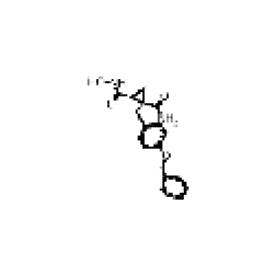 NC(=O)[C@@]1(Cc2ccc(OCc3ccccc3)cc2)C[C@@H]1C(=O)NO